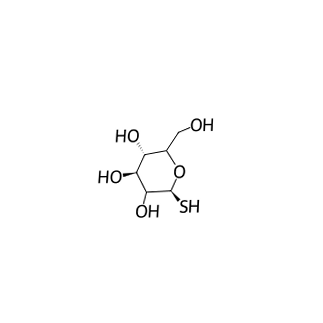 OCC1O[C@@H](S)C(O)[C@@H](O)[C@@H]1O